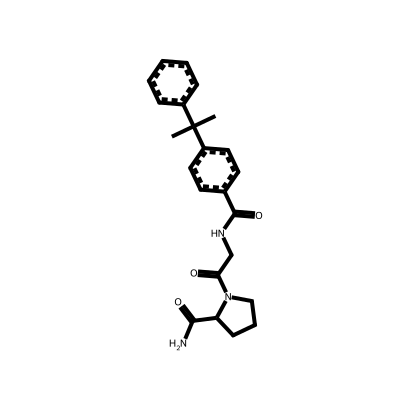 CC(C)(c1ccccc1)c1ccc(C(=O)NCC(=O)N2CCCC2C(N)=O)cc1